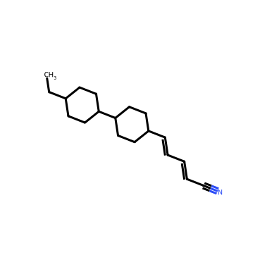 CCC1CCC(C2CCC(C=CC=CC#N)CC2)CC1